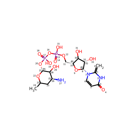 C=C1NC(=O)C=CN1[C@@H]1O[C@H](COP(=O)(O)OP(=O)(O)O[C@H]2OC(C)C[C@H](N)C2O)C(O)[C@@H]1O